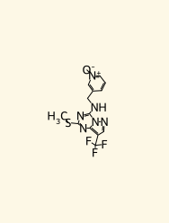 CSc1nc(NCc2ccc[n+]([O-])c2)n2ncc(C(F)(F)F)c2n1